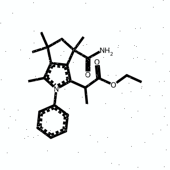 CCOC(=O)C(C)c1c2c(c(C)n1-c1ccccc1)C(C)(C)CC2(C)C(N)=O